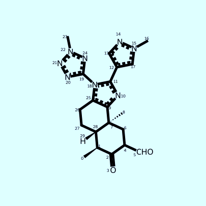 C[C@@H]1C(=O)C(C=O)C[C@]2(C)c3nc(-c4cnn(C)c4)n(-c4nnn(C)n4)c3CC[C@@H]12